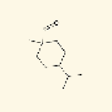 CC(C)C1CCC(C)(C=O)CC1